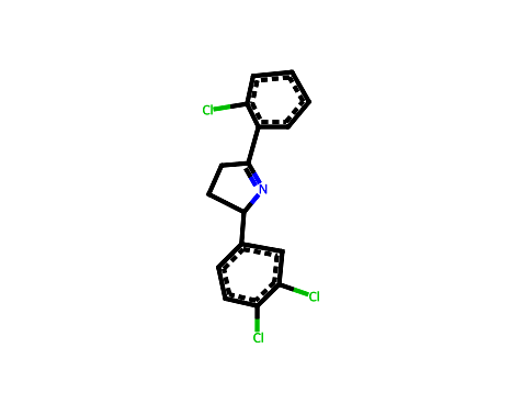 Clc1ccc(C2CCC(c3ccccc3Cl)=N2)cc1Cl